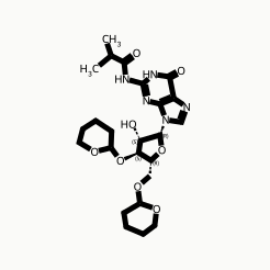 CC(C)C(=O)Nc1nc2c(ncn2[C@@H]2O[C@H](COC3CCCCO3)[C@@H](OC3CCCCO3)[C@@H]2O)c(=O)[nH]1